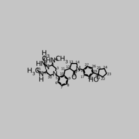 CNC1CN(c2ccccc2CC2CCN(c3ccc(C4(O)CCCC4)cc3)C2=O)CC(NC)N1NC